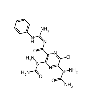 NC(=O)N(N)c1nc(N(N)C(N)=O)c(C(=O)N=C(N)Nc2ccccc2)nc1Cl